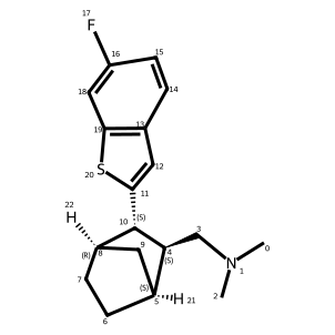 CN(C)C[C@H]1[C@H]2CC[C@H](C2)[C@@H]1c1cc2ccc(F)cc2s1